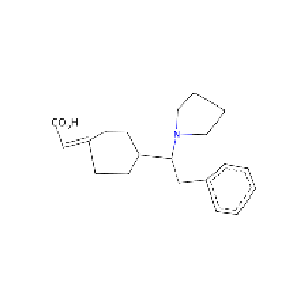 O=C(O)C=C1CCC(C(Cc2ccccc2)N2CCCC2)CC1